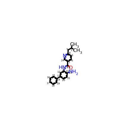 CC(C)Cc1ccc(C(=O)Nc2cc(-c3ccccc3)ccc2N)cn1